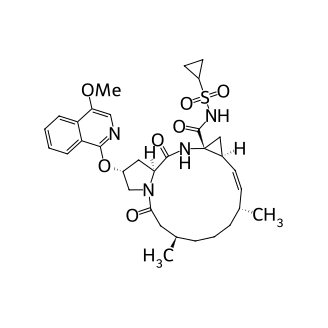 COc1cnc(O[C@@H]2C[C@H]3C(=O)N[C@]4(C(=O)NS(=O)(=O)C5CC5)C[C@H]4/C=C\[C@H](C)CCC[C@@H](C)CC(=O)N3C2)c2ccccc12